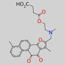 Cc1c(CN(C)CCOC(=O)CCC(=O)O)oc2c1C(=O)C(=O)c1c-2ccc2c(C)cccc12